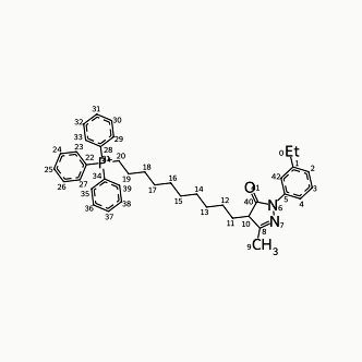 CCc1cccc(N2N=C(C)C(CCCCCCCCCC[P+](c3ccccc3)(c3ccccc3)c3ccccc3)C2=O)c1